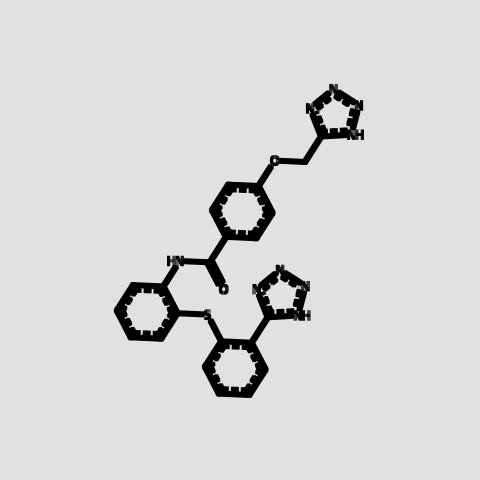 O=C(Nc1ccccc1Sc1ccccc1-c1nnn[nH]1)c1ccc(OCc2nnn[nH]2)cc1